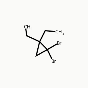 CCC1(CC)CC1(Br)Br